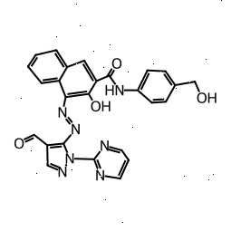 O=Cc1cnn(-c2ncccn2)c1/N=N/c1c(O)c(C(=O)Nc2ccc(CO)cc2)cc2ccccc12